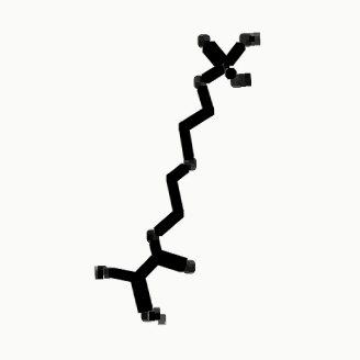 C=C(C(=O)OCCOCCOP(=O)(O)O)C(C)C